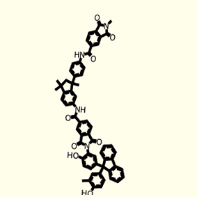 Cc1cc(C2(c3ccc(O)c(N4C(=O)c5ccc(C(=O)Nc6ccc7c(c6)C(C)(c6ccc(NC(=O)c8ccc9c(c8)C(=O)N(C)C9=O)cc6)CC7(C)C)cc5C4=O)c3)c3ccccc3-c3ccccc32)ccc1O